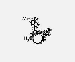 COc1ccc2c(O[C@@H]3C[C@H]4C(=O)N[C@]5(C(=O)NS(=O)(=O)C6CC6)C[C@H]5/C=C\CCCCN(C)C(=O)N4C3)nccc2c1Br